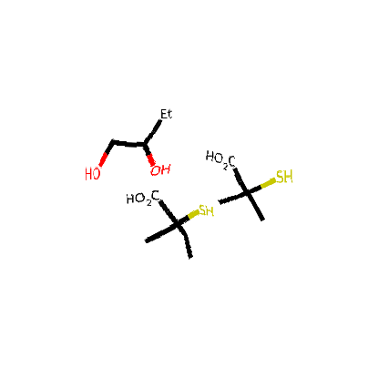 CC(C)(S)C(=O)O.CC(C)(S)C(=O)O.CCC(O)CO